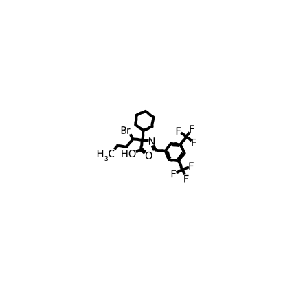 CCCC(Br)C(/N=C/c1cc(C(F)(F)F)cc(C(F)(F)F)c1)(C(=O)O)C1CCCCC1